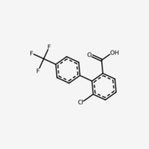 O=C(O)c1cccc(Cl)c1-c1ccc(C(F)(F)F)cc1